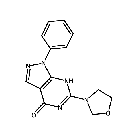 O=c1nc(N2CCOC2)[nH]c2c1cnn2-c1ccccc1